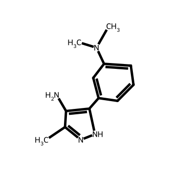 Cc1n[nH]c(-c2cccc(N(C)C)c2)c1N